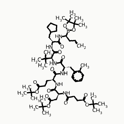 C=CCC(NC(=O)[C@H](CC1CCCC1)NC(=O)[C@@H](NC(=O)[C@H](Cc1ccccc1C)NC(=O)[C@H](CCC(=O)OC(C)(C)C)NC(=O)[C@H](CC(=O)OC(C)(C)C)NC(=O)CCC(=O)OC(C)(C)C)C(C)(C)C)B1OC(C)(C)C(C)(C)O1